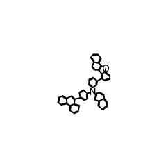 c1cc(-c2cccc3oc4c5ccccc5ccc4c23)cc(N(c2ccc(-c3cc4ccccc4c4ccccc34)cc2)c2ccc3ccccc3c2)c1